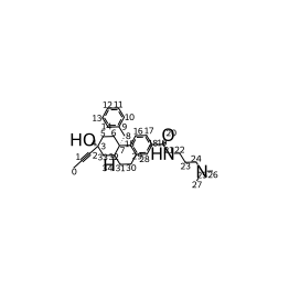 CC#C[C@@]1(O)CC[C@@]2(Cc3ccccc3)c3ccc(C(=O)NCCCN(C)C)cc3CC[C@@H]2C1